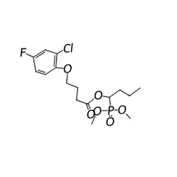 CCCC(OC(=O)CCCOc1ccc(F)cc1Cl)P(=O)(OC)OC